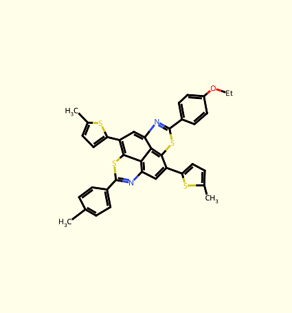 CCOc1ccc(C2=Nc3cc(-c4ccc(C)s4)c4c5c(cc(-c6ccc(C)s6)c(c35)S2)N=C(c2ccc(C)cc2)S4)cc1